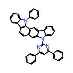 c1ccc(-c2cc(-c3ccccc3)nc(-n3c4ccccc4c4cc5c(ccc6c7ccccc7n(-c7ccccc7)c56)cc43)n2)cc1